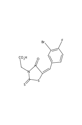 O=C(O)CN1C(=O)/C(=C\c2ccc(F)c(Br)c2)SC1=S